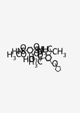 CNS(=O)(=O)c1ccc(S(=O)(=O)NC(=O)Cc2c(C(C)C)cc(COC3CCCC3)cc2C(C)C)c(CO)c1